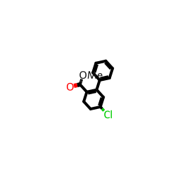 COC(=O)C1=C(c2ccccc2)C=C(Cl)CC1